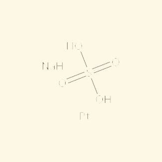 O=S(=O)(O)O.[NaH].[Pt]